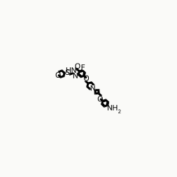 Nc1ccc(OCC2CC(N3CCC(COc4cc(F)c5c(=O)[nH]c(CSC6CCOCC6)nc5c4)CC3)C2)cc1